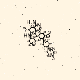 CCC1C=c2c(N)ncc(-c3ccc(N4CCC(N5CCN(C)CC5)CC4)c(OC)c3)c2=NC1NC1CCOCC1